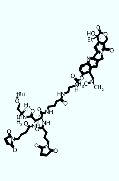 CC[C@@]1(O)C(=O)OCc2c1cc1n(c2=O)Cc2cc3c(CN(C)C)c(OC(=O)NCCNC(=O)CCCNC(=O)[C@@H](NC(=O)CCCN4C(=O)C=CC4=O)[C@H](NC(=O)CCCN4C(=O)C=CC4=O)C(=O)NC(C)(C)CCOC(C)(C)C)ccc3nc2-1